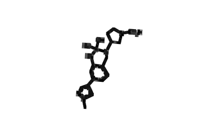 Cn1cc(-c2ccc3c(c2)NS(O)(O)N(C2CCN(C(=O)O)C2)C3)cn1